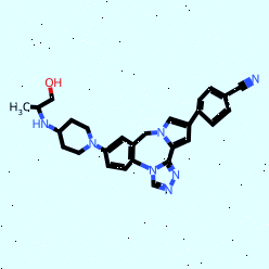 CC(CO)NC1CCN(c2ccc3c(c2)Cn2cc(-c4ccc(C#N)cc4)cc2-c2nncn2-3)CC1